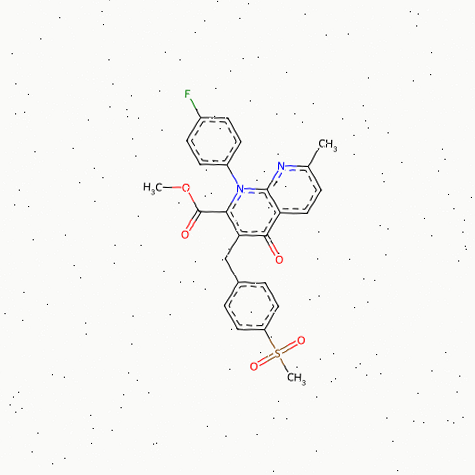 COC(=O)c1c(Cc2ccc(S(C)(=O)=O)cc2)c(=O)c2ccc(C)nc2n1-c1ccc(F)cc1